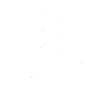 CCCC(Oc1cccc(C(=N)N)c1)C(=O)Nc1ccc(-c2ccccc2S(N)(=O)=O)cc1